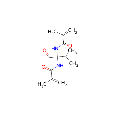 C=C(C)C(=O)NC(C=O)(NC(=O)C(=C)C)C(C)C